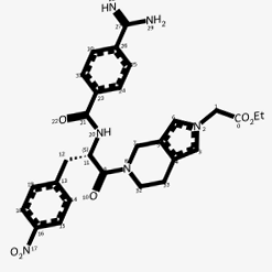 CCOC(=O)Cn1cc2c(c1)CN(C(=O)[C@H](Cc1ccc([N+](=O)[O-])cc1)NC(=O)c1ccc(C(=N)N)cc1)CC2